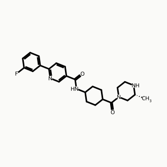 C[C@@H]1CN(C(=O)C2CCC(NC(=O)c3ccc(-c4cccc(F)c4)nc3)CC2)CCN1